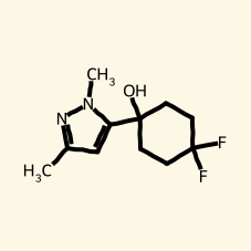 Cc1cc(C2(O)CCC(F)(F)CC2)n(C)n1